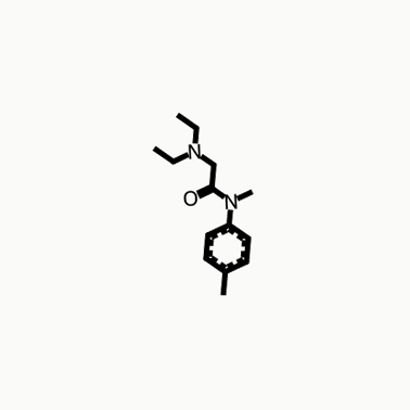 CCN(CC)CC(=O)N(C)c1ccc(C)cc1